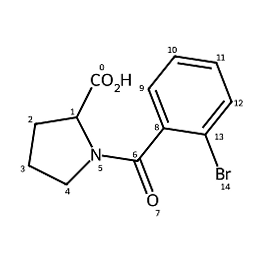 O=C(O)C1CCCN1C(=O)c1ccccc1Br